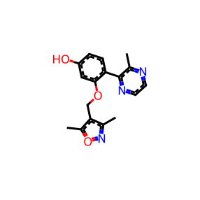 Cc1nccnc1-c1ccc(O)cc1OCc1c(C)noc1C